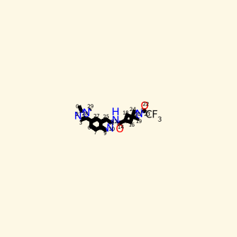 Cc1ncc(-c2ccc3cnc(NC(=O)C4CC5(C4)CN(C(=O)C(F)(F)F)C5)cc3c2)n1C